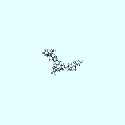 CC(C)OC(=O)NC12CCC(c3ncc(-c4ccc(NC(=O)NC(C)(O)c5ccccn5)cc4S(=O)(=O)NC(C)(C)C)s3)(CC1)CC2